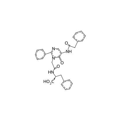 O=C(Cc1ccccc1)Nc1cnc(-c2ccccc2)n(CC(=O)N[C@@H](Cc2ccccc2)C(=O)O)c1=O